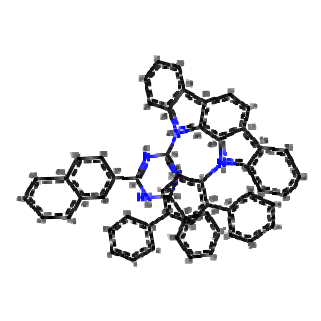 c1ccc(-c2ccc(-n3c4ccccc4c4ccc5c6ccccc6n(C6=NC(c7ccccc7)NC(c7ccc8ccccc8c7)=N6)c5c43)c(-c3ccccc3)c2)cc1